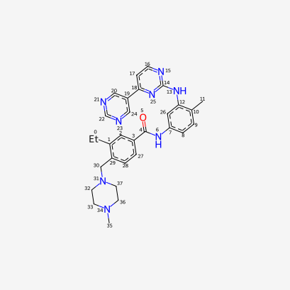 CCc1cc(C(=O)Nc2ccc(C)c(Nc3nccc(-c4cncnc4)n3)c2)ccc1CN1CCN(C)CC1